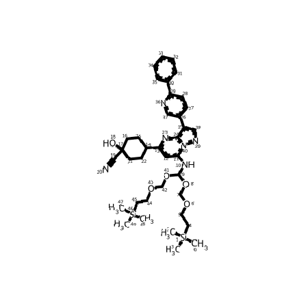 C[Si](C)(C)CCOCOC(Nc1cc(C2CCC(O)(C#N)CC2)nc2c(-c3ccc(-c4ccccc4)nc3)cnn12)OCOCC[Si](C)(C)C